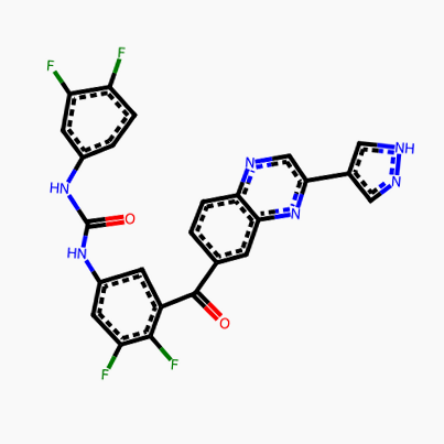 O=C(Nc1ccc(F)c(F)c1)Nc1cc(F)c(F)c(C(=O)c2ccc3ncc(-c4cn[nH]c4)nc3c2)c1